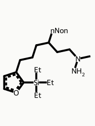 CCCCCCCCCC(CCCc1ccoc1[Si](CC)(CC)CC)CCN(C)N